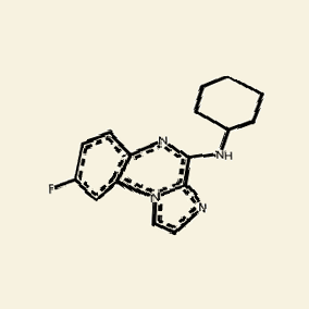 Fc1ccc2nc(NC3CCCCC3)c3nccn3c2c1